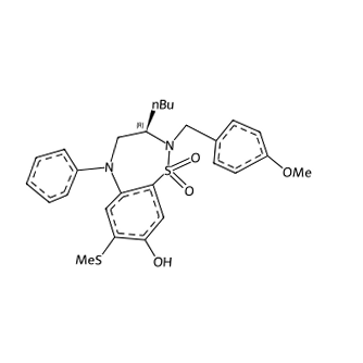 CCCC[C@@H]1CN(c2ccccc2)c2cc(SC)c(O)cc2S(=O)(=O)N1Cc1ccc(OC)cc1